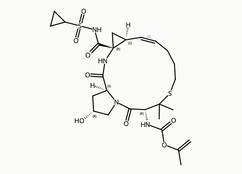 C=C(C)OC(=O)N[C@@H]1C(=O)N2C[C@H](O)C[C@H]2C(=O)N[C@]2(C(=O)NS(=O)(=O)C3CC3)C[C@H]2/C=C\CCCSC1(C)C